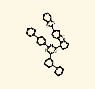 c1ccc(-c2ccc(-c3nc(-c4cccc(-c5ccccc5)c4)nc(-c4cccc5oc6cc(-c7nc8ccccc8s7)ccc6c45)n3)cc2)cc1